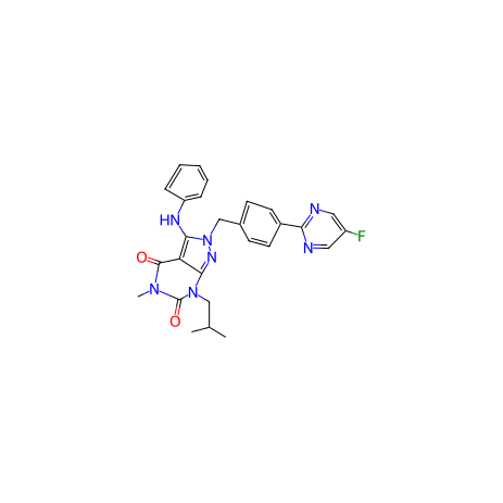 CC(C)Cn1c(=O)n(C)c(=O)c2c(Nc3ccccc3)n(Cc3ccc(-c4ncc(F)cn4)cc3)nc21